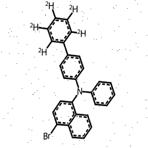 [2H]c1c([2H])c([2H])c(-c2ccc(N(c3ccccc3)c3ccc(Br)c4ccccc34)cc2)c([2H])c1[2H]